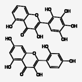 O=c1c(O)c(-c2cc(O)c(O)c(O)c2O)oc2cccc(O)c12.O=c1c(O)c(-c2ccc(O)cc2O)oc2cc(O)cc(O)c12